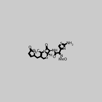 CO/N=C(\C(=O)N[C@@H]1C(=O)N2C(C(=O)O)=C(CC3C=CC(=O)O3)CS[C@@H]12)c1csc(N)n1